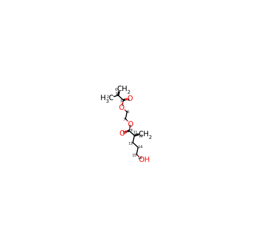 C=C(C)C(=O)OCCOC(=O)C(=C)CCCO